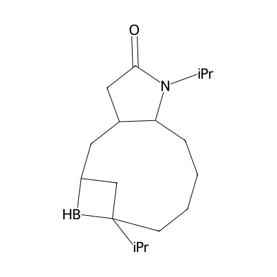 CC(C)N1C(=O)CC2CC3BC(C(C)C)(CCCCC21)C3